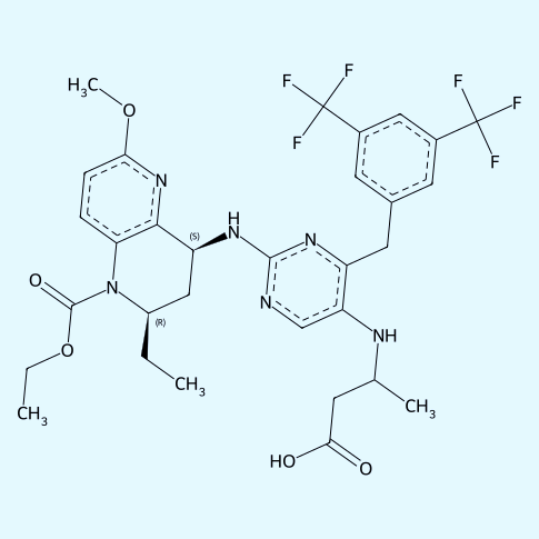 CCOC(=O)N1c2ccc(OC)nc2[C@@H](Nc2ncc(NC(C)CC(=O)O)c(Cc3cc(C(F)(F)F)cc(C(F)(F)F)c3)n2)C[C@H]1CC